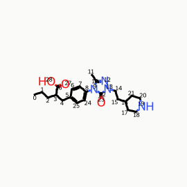 CCCC(Cc1ccc(-n2c(C)nn(CCC3CCNCC3)c2=O)cc1)C(=O)O